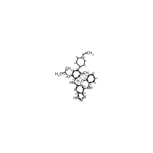 CCN1CCC(c2cc(OC(C)C)c(Nc3nc(Nc4ccccc4C)c4nn[nH]c4n3)cc2C)CC1